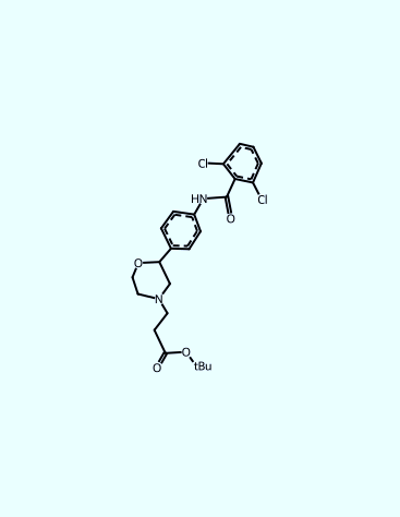 CC(C)(C)OC(=O)CCN1CCOC(c2ccc(NC(=O)c3c(Cl)cccc3Cl)cc2)C1